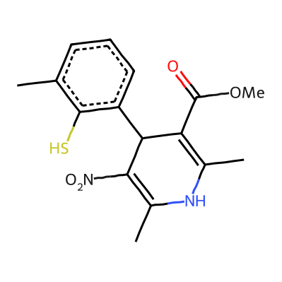 COC(=O)C1=C(C)NC(C)=C([N+](=O)[O-])C1c1cccc(C)c1S